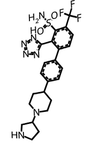 NS(=O)(=O)c1c(C(F)(F)F)ccc(-c2ccc(C3CCN(C4CCNC4)CC3)cc2)c1-c1nnn[nH]1